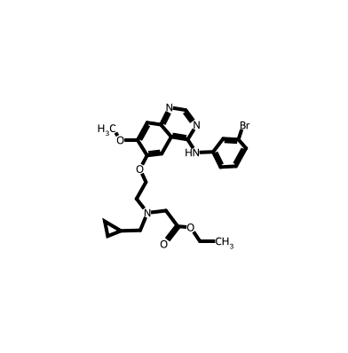 CCOC(=O)CN(CCOc1cc2c(Nc3cccc(Br)c3)ncnc2cc1OC)CC1CC1